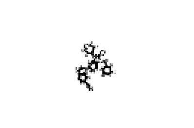 N#Cc1ccc2ncn(-c3ncc4c(n3)n(C3CCOCC3)c(=O)n4Cc3ccccc3)c2c1